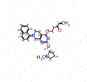 C=CC(=O)CCOc1nc(OC[C@@H]2CCCN2C)nc2c1CCN(c1cccc3ccccc13)C2